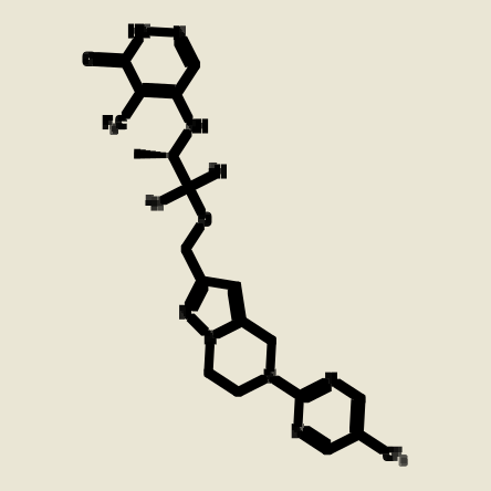 [2H]C([2H])(OCc1cc2n(n1)CCN(c1ncc(C(F)(F)F)cn1)C2)[C@H](C)Nc1cn[nH]c(=O)c1C(F)(F)F